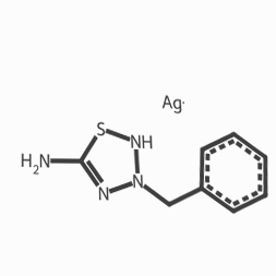 NC1=NN(Cc2ccccc2)NS1.[Ag]